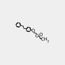 C=CC(=O)OCCOc1ccc(CCc2ccccc2)cc1